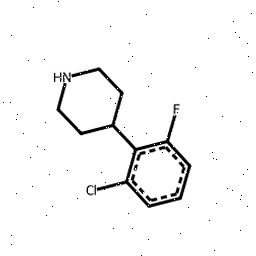 Fc1cccc(Cl)c1C1CCNCC1